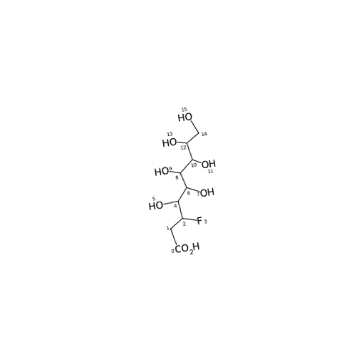 O=C(O)CC(F)C(O)C(O)C(O)C(O)C(O)CO